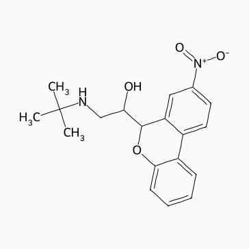 CC(C)(C)NCC(O)C1Oc2ccccc2-c2ccc([N+](=O)[O-])cc21